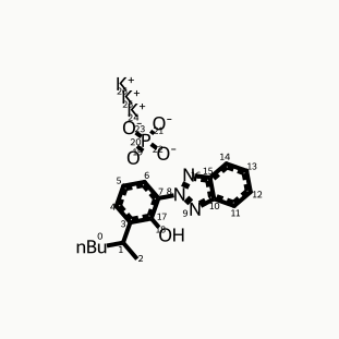 CCCCC(C)c1cccc(-n2nc3ccccc3n2)c1O.O=P([O-])([O-])[O-].[K+].[K+].[K+]